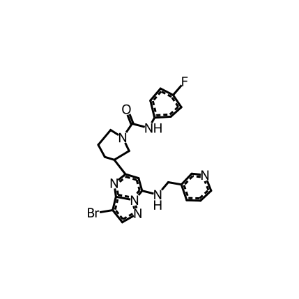 O=C(Nc1ccc(F)cc1)N1CCCC(c2cc(NCc3cccnc3)n3ncc(Br)c3n2)C1